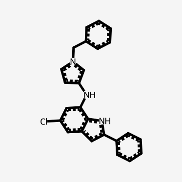 Clc1cc(Nc2ccn(Cc3ccccc3)c2)c2[nH]c(-c3ccccc3)cc2c1